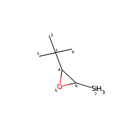 CC(C)(C)C1OC1[SiH3]